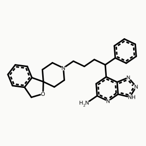 Nc1cc(C(CCCN2CCC3(CC2)OCc2ccccc23)c2ccccc2)c2nn[nH]c2n1